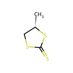 C[C@H]1CSC(=S)S1